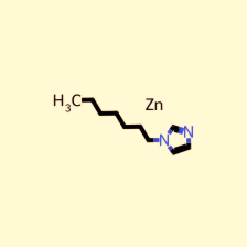 CCCCCCCn1ccnc1.[Zn]